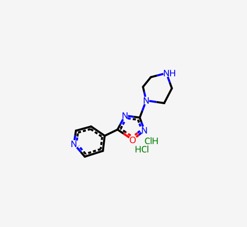 Cl.Cl.c1cc(-c2nc(N3CCNCC3)no2)ccn1